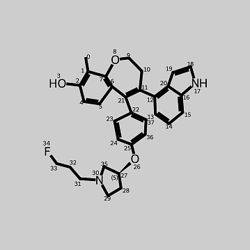 Cc1c(O)ccc2c1OCCC(c1cccc3[nH]ccc13)=C2c1ccc(O[C@H]2CCN(CCCF)C2)cc1